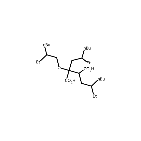 CCCCC(CC)COC(CC(CC)CCCC)(C(=O)O)C(CC(CC)CCCC)C(=O)O